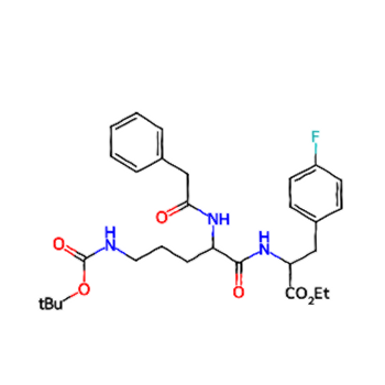 CCOC(=O)C(Cc1ccc(F)cc1)NC(=O)C(CCCNC(=O)OC(C)(C)C)NC(=O)Cc1ccccc1